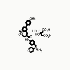 CCOc1ccc(-c2ccc3c(c2)C=C(C(=O)Nc2ccc(CN(C)C4CCOCC4)cc2)CCS3(=O)=O)cc1.O=C(O)CC(O)(CC(=O)O)C(=O)O